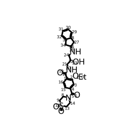 CCOc1cc(C(=O)N2CCS(=O)(=O)CC2)ccc1C(=O)NC[C@@H](O)CNC1Cc2ccccc2C1